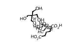 O=C(O)CCCC(=O)O.O=[N+]([O-])O.O=[N+]([O-])O.O=[N+]([O-])O.OCC(CO)(CO)CO